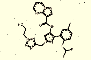 Cc1ccc(OC(F)F)c(-c2nn(Cc3nnn(CCO)n3)cc2NC(=O)c2cnn3cccnc23)c1